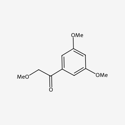 COCC(=O)c1cc(OC)cc(OC)c1